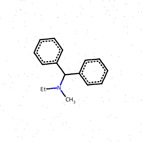 CCN(C)C(c1ccccc1)c1ccccc1